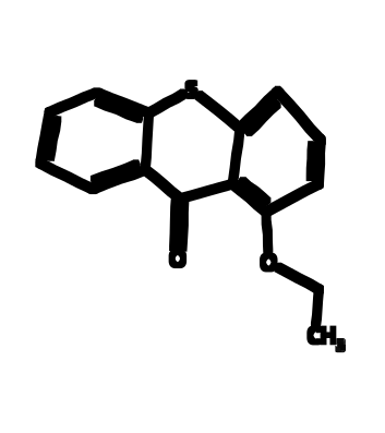 CCOc1cccc2sc3ccccc3c(=O)c12